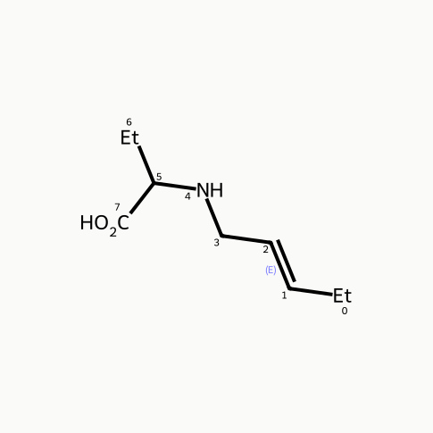 CC/C=C/CNC(CC)C(=O)O